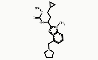 Cn1c(C(CCC2CC2)NC(=O)OC(C)(C)C)nc2c(CN3CCCC3)cccc21